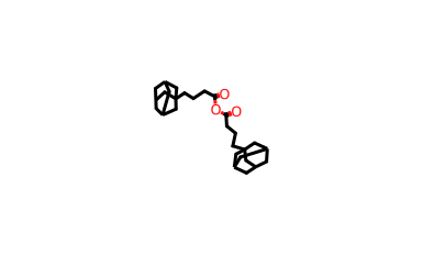 O=C(CCCC12CC3CC(CC(C3)C1)C2)OC(=O)CCCC12CC3CC(CC(C3)C1)C2